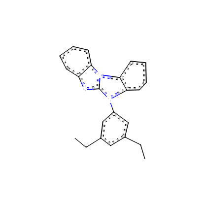 CCc1cc(CC)cc(-n2c3ccccc3n3c4ccccc4nc23)c1